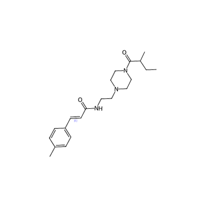 CCC(C)C(=O)N1CCN(CCNC(=O)/C=C/c2ccc(C)cc2)CC1